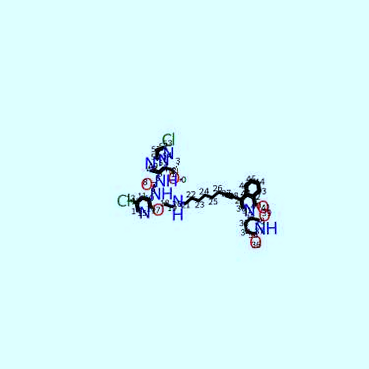 CO[C@@H](C)c1c(NC(=O)Nc2cc(Cl)cnc2OCCNCCCCCCC#Cc2cn(C3CCC(=O)NC3=O)c(=O)c3ccccc23)cnc2cc(Cl)nn12